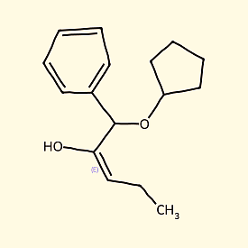 CC/C=C(/O)C(OC1CCCC1)c1ccccc1